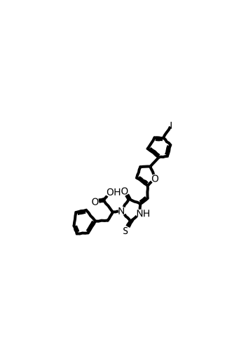 O=C(O)C(Cc1ccccc1)N1C(=O)/C(=C\C2=CCC(c3ccc(I)cc3)O2)NC1=S